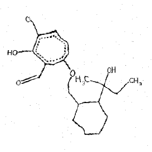 CCC(C)(O)C1CCCCC1COc1ccc(Cl)c(O)c1C=O